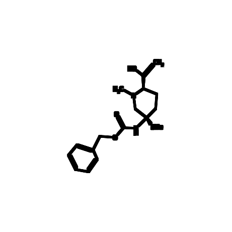 C=C(O)[C@H]1CC[C@@](NC(=O)OCc2ccccc2)(SC)CN1C